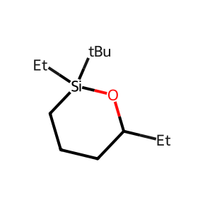 CCC1CCC[Si](CC)(C(C)(C)C)O1